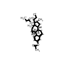 CCC(=O)O[C@]1(C(=O)CCl)[C@@H](C)C[C@H]2[C@@H]3CC=C4C=C(OC(C)=O)C=C[C@]4(C)[C@@]34O[C@H]4C[C@@]21C